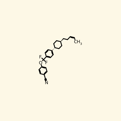 C/C=C\CC[C@H]1CC[C@H](c2ccc(C(F)(F)Oc3ccc(C#N)cc3)cc2)CC1